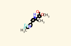 CCc1c(-c2ccc(OC)c(C=O)c2)[nH]c2ccc(C3CCN(CC(C)C(F)(F)F)CC3)cc12